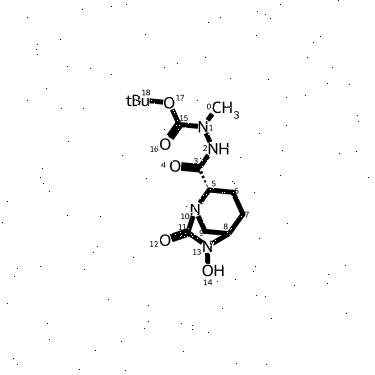 CN(NC(=O)[C@@H]1CCC2CN1C(=O)N2O)C(=O)OC(C)(C)C